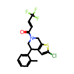 Cc1ccccc1C1CN(C(=O)/C=C/C(F)(F)F)Cc2sc(Cl)cc21